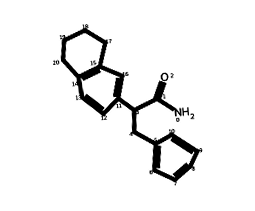 NC(=O)C(Cc1ccccc1)c1ccc2c(c1)CCCC2